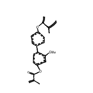 C=C(C)C(=C)Oc1ccc(-c2ccc(OC(=O)C(=C)C)cc2OC)cc1